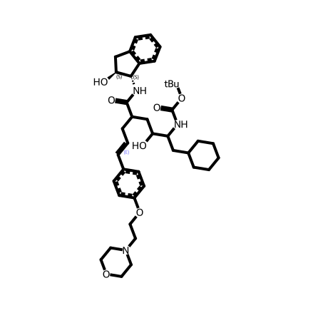 CC(C)(C)OC(=O)NC(CC1CCCCC1)C(O)CC(C/C=C/c1ccc(OCCN2CCOCC2)cc1)C(=O)N[C@H]1c2ccccc2C[C@@H]1O